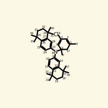 CC1=CC(Cl)=CC(C)(N(c2ccc3c(c2)C(C)(C)CCC3(C)C)c2ccc3c(c2)C(C)(C)CCC3(C)C)C1